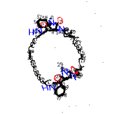 CN1C(=O)C2=C(C1=O)N1CCC(CCCCCCC3CCN(CC3)C3=C(C(=O)N(C)C3=O)c3c([nH]c4ccccc34)CCCCCCCCCCCCc3[nH]c4ccccc4c32)CC1